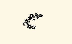 Cc1nn(C2CCOCC2)cc1-c1nc2c(-c3ccc4c(c3)CCCC4NC(=O)c3nc(C(C)(C)C)no3)ccnc2[nH]1